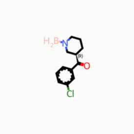 BN1CCC[C@@H](C(=O)c2cccc(Cl)c2)C1